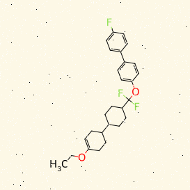 CCOC1=CCC(C2CCC(C(F)(F)Oc3ccc(-c4ccc(F)cc4)cc3)CC2)CC1